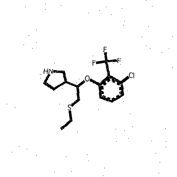 CCSCC(Oc1cccc(Cl)c1C(F)(F)F)C1CCNC1